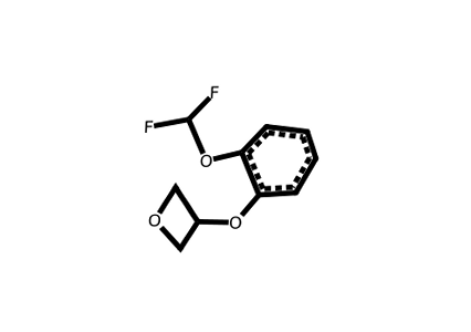 FC(F)Oc1ccccc1OC1COC1